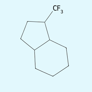 FC(F)(F)C1CCC2CCCCC21